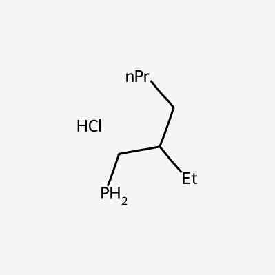 CCCCC(CC)CP.Cl